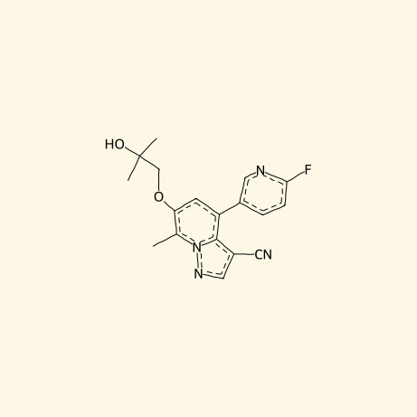 Cc1c(OCC(C)(C)O)cc(-c2ccc(F)nc2)c2c(C#N)cnn12